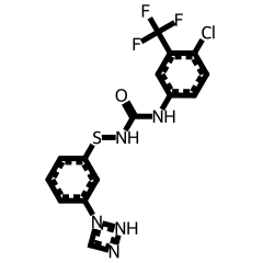 O=C(NSc1cccc(-n2cn[nH]2)c1)Nc1ccc(Cl)c(C(F)(F)F)c1